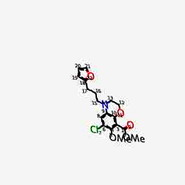 COC(=O)c1c(OC)c(Cl)cc2c1OCCN2CCCc1ccco1